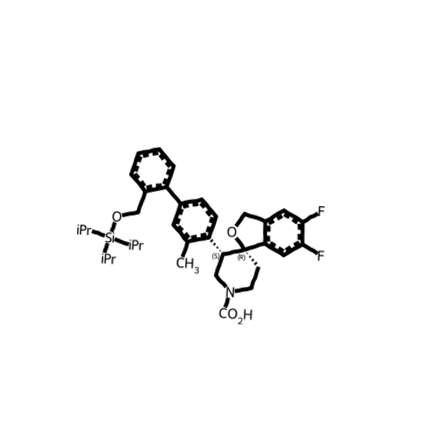 Cc1cc(-c2ccccc2CO[Si](C(C)C)(C(C)C)C(C)C)ccc1[C@H]1CN(C(=O)O)CC[C@@]12OCc1cc(F)c(F)cc12